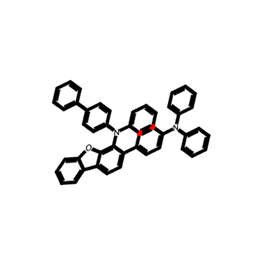 c1ccc(-c2ccc(N(c3ccccc3)c3c(-c4ccc(N(c5ccccc5)c5ccccc5)cc4)ccc4c3oc3ccccc34)cc2)cc1